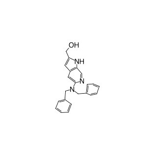 OCc1cc2cc(N(Cc3ccccc3)Cc3ccccc3)ncc2[nH]1